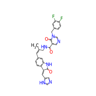 CC(=Cc1ccc2c(c1)NC(=O)C2=Cc1cnc[nH]1)CNC(=O)c1cncn(Cc2ccc(F)c(F)c2)c1=O